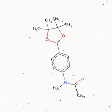 CC(=O)N(C)c1ccc(C2OC(C)(C)C(C)(C)O2)cc1